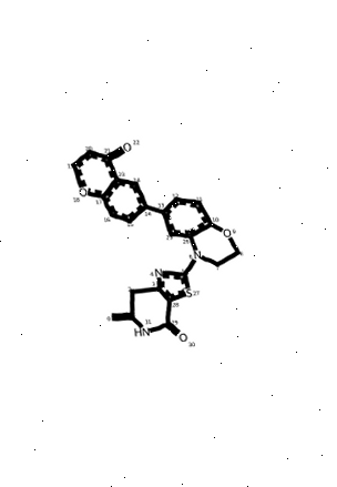 C=C1Cc2nc(N3CCOc4ccc(-c5ccc6occc(=O)c6c5)cc43)sc2C(=O)N1